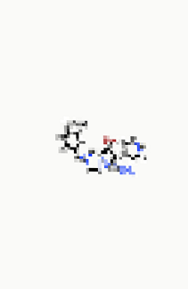 COc1ccc(CN2CCn3c(N)c(-c4ccncc4)c(Br)c3C2)cc1